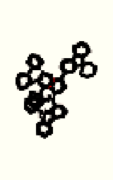 c1ccc(-c2ccccc2-c2ccccc2-c2ccccc2N(c2ccc(-c3ccc4c(c3)C3(CCCCC3)c3ccccc3-4)cc2)c2cccc3c4ccccc4n(-c4ccccc4)c23)cc1